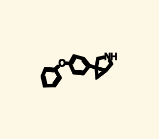 c1ccc(Oc2ccc(C34CNCC3C4)cc2)cc1